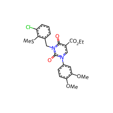 CCOC(=O)c1cn(-c2ccc(OC)c(OC)c2)c(=O)n(Cc2cccc(Cl)c2SC)c1=O